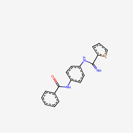 N=C(Nc1ccc(NC(=O)c2ccccc2)cc1)c1cccs1